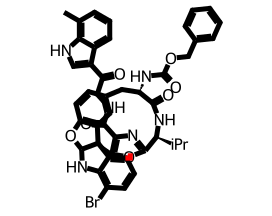 Cc1cccc2c(C(=O)CNC(=O)c3nc4oc3[C@]35c6cc(ccc6OC3Nc3c(Br)cccc35)C[C@H](NC(=O)OCc3ccccc3)C(=O)N[C@H]4C(C)C)c[nH]c12